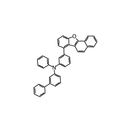 c1ccc(-c2cccc(N(c3ccccc3)c3cccc(-c4cccc5oc6c7ccccc7ccc6c45)c3)c2)cc1